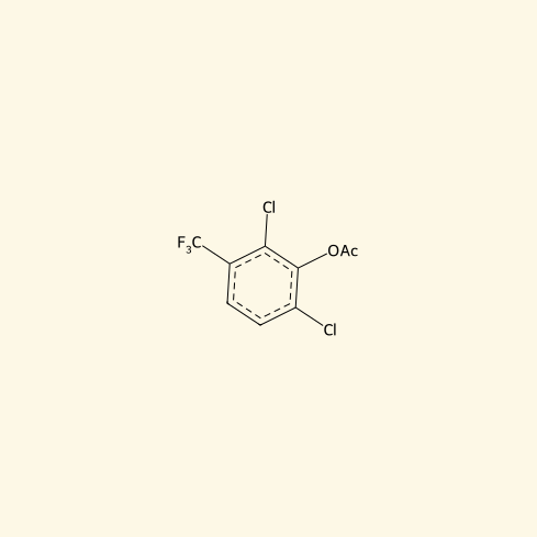 CC(=O)Oc1c(Cl)ccc(C(F)(F)F)c1Cl